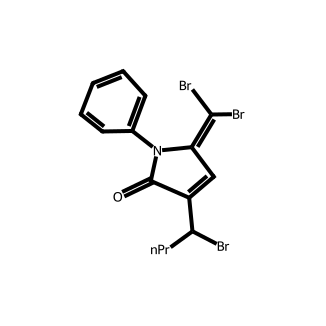 CCCC(Br)C1=CC(=C(Br)Br)N(c2ccccc2)C1=O